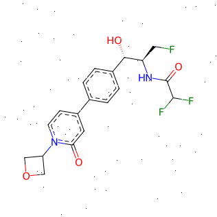 O=C(N[C@H](CF)[C@@H](O)c1ccc(-c2ccn(C3COC3)c(=O)c2)cc1)C(F)F